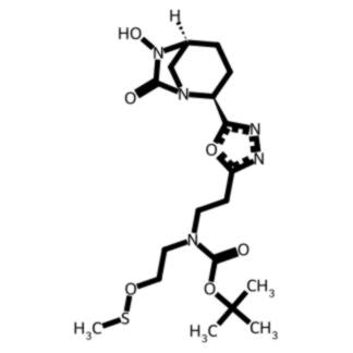 CSOCCN(CCc1nnc([C@@H]2CC[C@H]3CN2C(=O)N3O)o1)C(=O)OC(C)(C)C